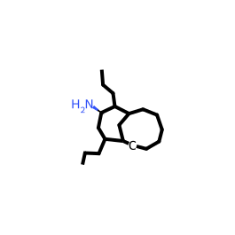 CCCC1C[C@@H](N)C(CCC)C2CCCCCCC1C2